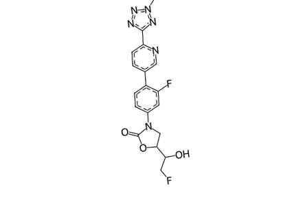 CCCn1nnc(-c2ccc(-c3ccc(N4CC(C(O)CF)OC4=O)cc3F)cn2)n1